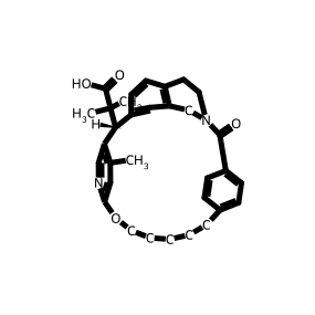 Cc1cc2ncc1[C@H](C(C)(C)C(=O)O)c1ccc3c(c1)CN(CC3)C(=O)c1ccc(cc1)CCCCCO2